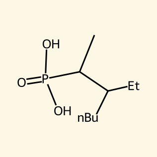 CCCCC(CC)C(C)P(=O)(O)O